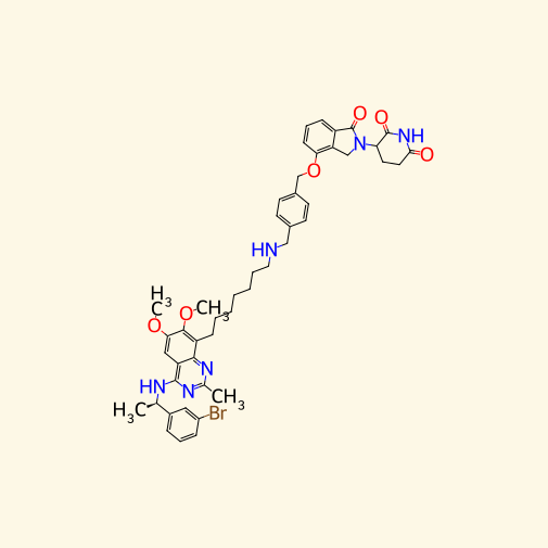 COc1cc2c(N[C@H](C)c3cccc(Br)c3)nc(C)nc2c(CCCCCCCNCc2ccc(COc3cccc4c3CN(C3CCC(=O)NC3=O)C4=O)cc2)c1OC